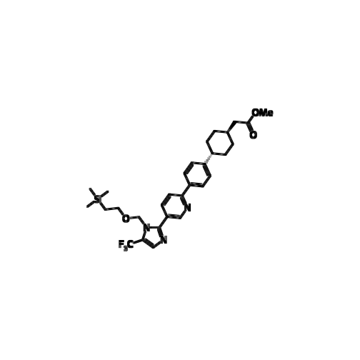 COC(=O)C[C@H]1CC[C@H](c2ccc(-c3ccc(-c4ncc(C(F)(F)F)n4COCC[Si](C)(C)C)cn3)cc2)CC1